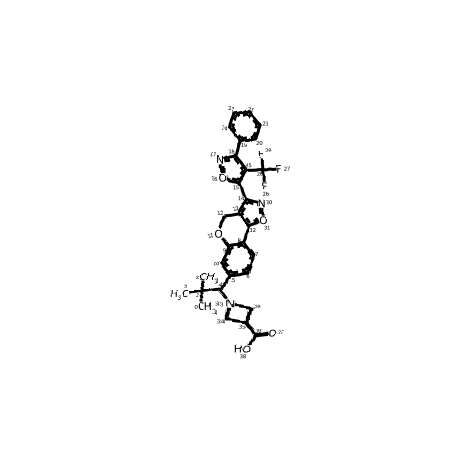 CC(C)(C)C(c1ccc2c(c1)OCc1c(-c3onc(-c4ccccc4)c3C(F)(F)F)noc1-2)N1CC(C(=O)O)C1